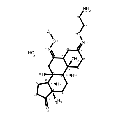 CCO/N=C1/C[C@@H]2[C@H](CC[C@]3(C)C(=O)CC[C@@H]23)[C@@]2(C)CC/C(=N/OCCN)CC12.Cl